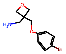 NCC1(COc2ccc(Br)cc2)COC1